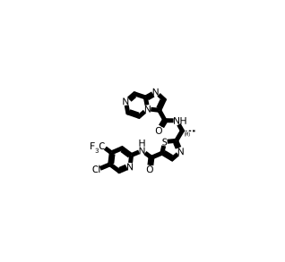 C[C@@H](NC(=O)c1cnc2cnccn12)c1ncc(C(=O)Nc2cc(C(F)(F)F)c(Cl)cn2)s1